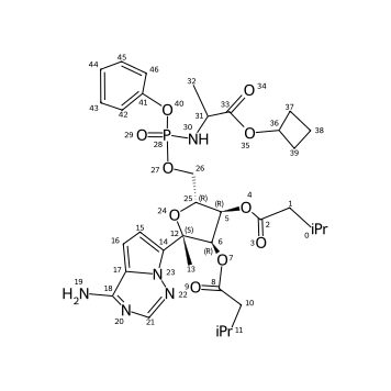 CC(C)CC(=O)O[C@H]1[C@@H](OC(=O)CC(C)C)[C@](C)(c2ccc3c(N)ncnn23)O[C@@H]1COP(=O)(NC(C)C(=O)OC1CCC1)Oc1ccccc1